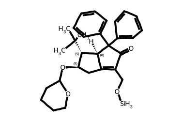 CC(C)(C)[C@H]1[C@H](OC2CCCCO2)CC2=C(CO[SiH3])C(=O)C(c3ccccc3)(c3ccccc3)[C@@H]21